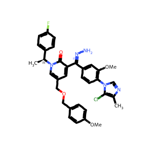 COc1ccc(COCc2cc(/C(=N/N)c3ccc(-n4cnc(C)c4Cl)c(OC)c3)c(=O)n([C@@H](C)c3ccc(F)cc3)c2)cc1